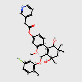 COc1cc(OC(=O)Cc2cccnc2)ccc1C1=C(COc2cc(F)ccc2C)C(C)(O)CC(C)(C)C1O